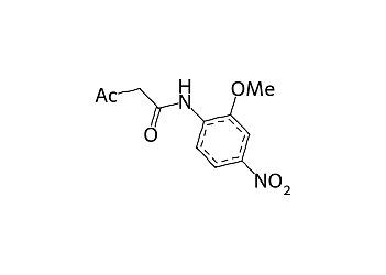 COc1cc([N+](=O)[O-])ccc1NC(=O)CC(C)=O